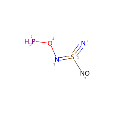 N#S(N=O)=NOP